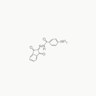 Nc1ccc(C(=O)NN=c2c(=O)c3ccccc3c2=O)cc1